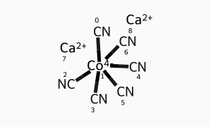 N#[C][Co-4]([C]#N)([C]#N)([C]#N)([C]#N)[C]#N.[Ca+2].[Ca+2]